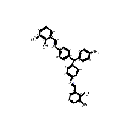 CC(C)(C)c1cccc(/C=N/c2ccc(C(c3ccc(N)cc3)c3ccc(/N=C/c4cccc(C(C)(C)C)c4O)cc3)cc2)c1O